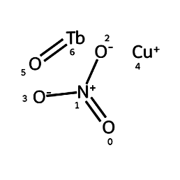 O=[N+]([O-])[O-].[Cu+].[O]=[Tb]